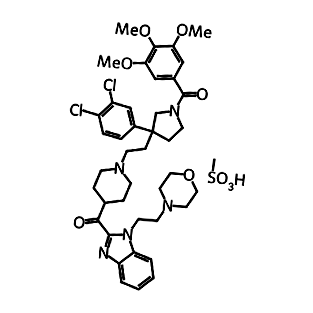 COc1cc(C(=O)N2CCC(CCN3CCC(C(=O)c4nc5ccccc5n4CCN4CCOCC4)CC3)(c3ccc(Cl)c(Cl)c3)C2)cc(OC)c1OC.CS(=O)(=O)O